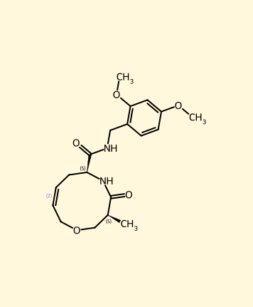 COc1ccc(CNC(=O)[C@@H]2C/C=C\COC[C@H](C)C(=O)N2)c(OC)c1